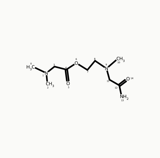 CN(C)CC(=O)OCCN(C)CC(N)=O